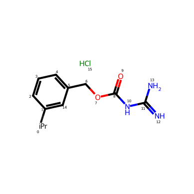 CC(C)c1cccc(COC(=O)NC(=N)N)c1.Cl